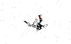 CCCOC(=O)N1CCN(C(=O)c2ccc3c(Cl)cc(-c4ccc(CF)cc4)nc3c2)C(C)C([SiH3])C1